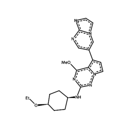 CCO[C@H]1CC[C@@H](Nc2nc(OC)c3c(-c4cnc5nccn5c4)ccn3n2)CC1